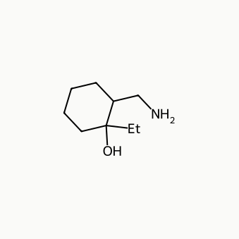 CCC1(O)CCCCC1CN